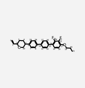 C=CC1CCC(c2ccc(-c3ccc(-c4ccc(OCCC)c(F)c4F)cc3)cc2)CO1